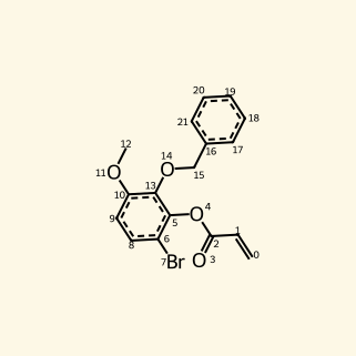 C=CC(=O)Oc1c(Br)ccc(OC)c1OCc1ccccc1